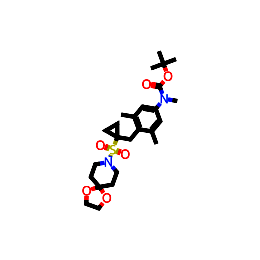 Cc1cc(N(C)C(=O)OC(C)(C)C)cc(C)c1CC1(S(=O)(=O)N2CCC3(CC2)OCCO3)CC1